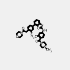 Cc1cc(Nc2nc3cccc(-c4ccc(CC(=O)N5CCOCC5)c(F)c4)c3o2)ccc1C(=O)N1CCN(C)CC1